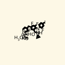 CNS(=O)(=O)Nc1nccc(Cc2cc(C(=O)NC3CC3)c(Nc3ccc(I)cc3F)c(F)c2F)c1F